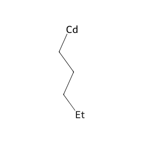 CCCC[CH2][Cd]